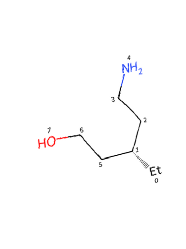 CC[C@@H](CCN)CCO